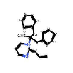 C=C/C=C1\N=CC=CN1C(C=O)(Cc1ccccc1)Cc1ccccc1